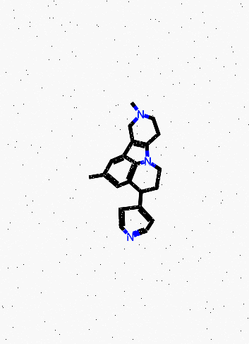 Cc1cc2c3c(c1)c1c(n3CCC2c2ccncc2)CCN(C)C1